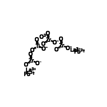 [La+3].[La+3].[O-2].[O]=[Ti]([O-])[O-].[O]=[Zr]([O-])[O-].[O]=[Zr]([O-])[O-].[O]=[Zr]([O-])[O-].[Pb+2].[Pb+2]